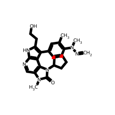 C=NN(C)c1ccc(-c2c(CCO)[nH]c3ncc4c(c23)n(C2CCCC2)c(=O)n4C)cc1C